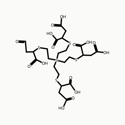 O=CCC(SCC[Si](CCSC(CC(=O)O)C(=O)O)(CCSC(CC(=O)O)C(=O)O)CCSC(CC(=O)O)C(=O)O)C(=O)O